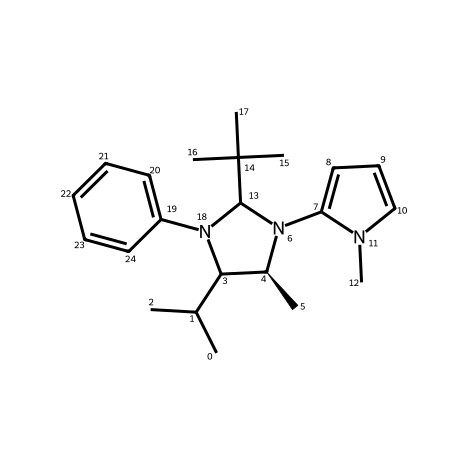 CC(C)C1[C@H](C)N(c2cccn2C)C(C(C)(C)C)N1c1ccccc1